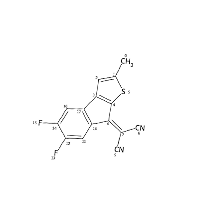 Cc1cc2c(s1)C(=C(C#N)C#N)c1cc(F)c(F)cc1-2